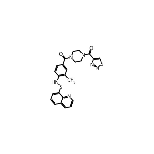 O=C(c1ccc(NSc2cccc3cccnc23)c(C(F)(F)F)c1)N1CCN(C(=O)c2csnn2)CC1